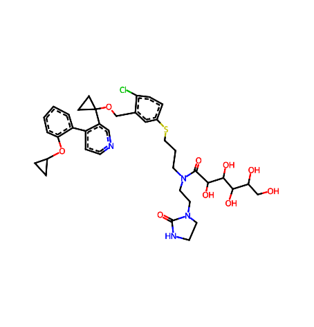 O=C1NCCN1CCN(CCCSc1ccc(Cl)c(COC2(c3cnccc3-c3ccccc3OC3CC3)CC2)c1)C(=O)C(O)C(O)C(O)C(O)CO